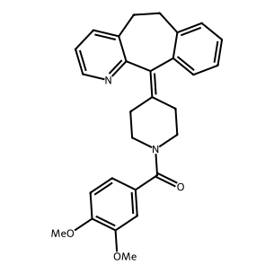 COc1ccc(C(=O)N2CCC(=C3c4ccccc4CCc4cccnc43)CC2)cc1OC